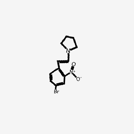 O=[N+]([O-])c1cc(Br)ccc1/C=C/N1CCCC1